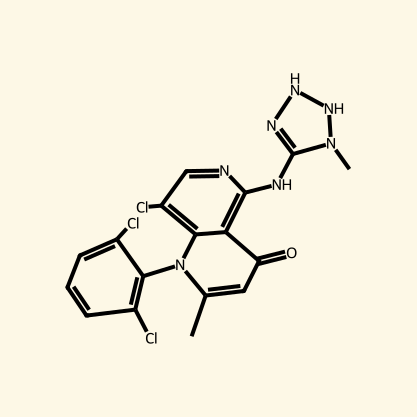 Cc1cc(=O)c2c(NC3=NNNN3C)ncc(Cl)c2n1-c1c(Cl)cccc1Cl